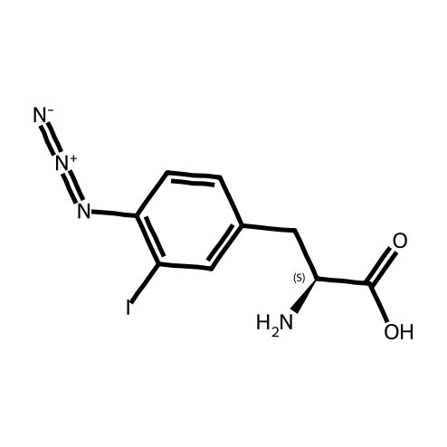 [N-]=[N+]=Nc1ccc(C[C@H](N)C(=O)O)cc1I